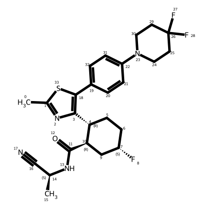 Cc1nc([C@@H]2CC[C@H](F)C[C@H]2C(=O)N[C@@H](C)C#N)c(-c2ccc(N3CCC(F)(F)CC3)cc2)s1